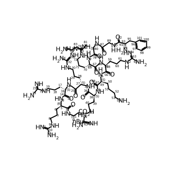 CCCC[C@H](NC(=O)[C@@H](CCCNC(=N)N)NC(=O)[C@H](CCCNC(=N)N)NC(=O)[C@H](CCCNC(=N)N)NC(=O)[C@H](CCCNC(=N)N)NC(=O)[C@H](CCCCN)NC(=O)[C@H](CCCNC(=N)N)NC(=O)[C@H](CCCNC(=N)N)NC(=O)[C@H](CCCCN)NC(=O)CNC(=O)[C@@H](N)Cc1ccccc1)C(=O)O